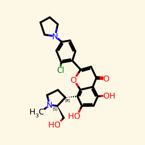 CN1CC[C@H](c2c(O)cc(O)c3c(=O)cc(-c4ccc(N5CCCC5)cc4Cl)oc23)[C@H]1CO